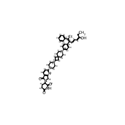 C=C\C(O)=C/C=C/C(=C(\CC)c1ccccc1)c1ccc(N2CCC3(CC2)CC(N2CCN(c4ccc5c(n4)CN(C4CCC(=O)NC4=O)C5=O)CC2)C3)cc1